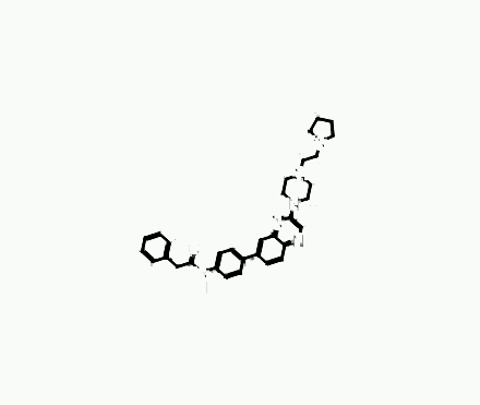 O=C(Cc1ccccc1)Nc1ccc(-c2ccc3ncc(N4CCN(CCN5CCCC5)CC4)nc3c2)cc1